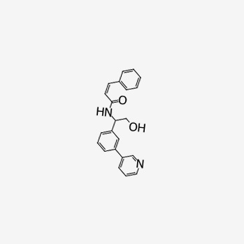 O=C(/C=C\c1ccccc1)NC(CO)c1cccc(-c2cccnc2)c1